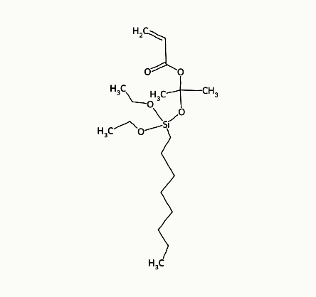 C=CC(=O)OC(C)(C)O[Si](CCCCCCCC)(OCC)OCC